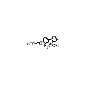 OCCCOc1ccc2c(c1)C(O)(C(F)(F)F)c1ccccc1-2